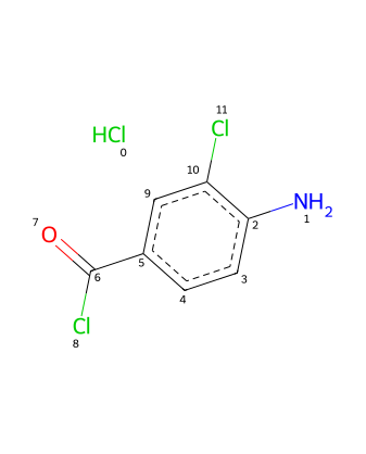 Cl.Nc1ccc(C(=O)Cl)cc1Cl